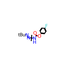 CC(C)(C)N=NC(C)(C)NC(=O)Oc1ccc(F)cc1